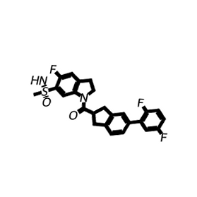 CS(=N)(=O)c1cc2c(cc1F)CCN2C(=O)C1Cc2ccc(-c3cc(F)ccc3F)cc2C1